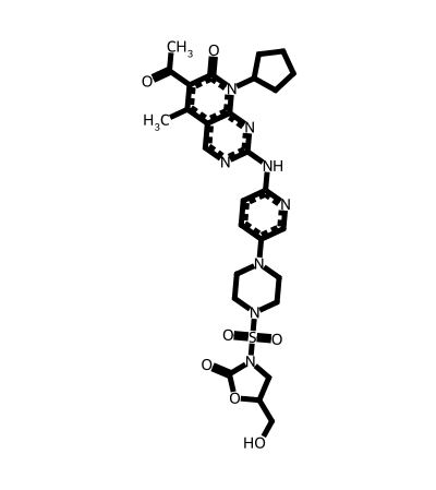 CC(=O)c1c(C)c2cnc(Nc3ccc(N4CCN(S(=O)(=O)N5CC(CO)OC5=O)CC4)cn3)nc2n(C2CCCC2)c1=O